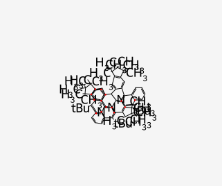 CC(C)(C)c1cnc(-c2cc3c(cc2C(c2cc4c(cc2-c2ncc(C(C)(C)C)c5ccccc25)C(C)(C)C(C)(C)C4(C)C)c2cc4c(cc2-c2ncc(C(C)(C)C)c5ccccc25)C(C)(C)C(C)(C)C4(C)C)C(C)(C)C(C)(C)C3(C)C)c2ccccc12